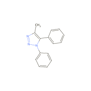 Cc1nnn(-c2ccccc2)c1-c1ccccc1